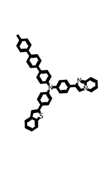 Cc1ccc(-c2ccc(-c3ccc(N(c4ccc(-c5cn6ccccc6n5)cc4)c4ccc(-c5cc6ccccc6s5)cc4)cc3)cc2)cc1